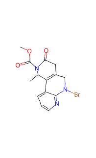 COC(=O)N1C(=O)CC2=C(c3cccnc3N(Br)C2)C1C